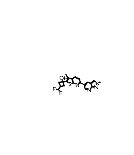 Cc1c(C2(O)CC(C(F)F)C2)sc2nc(-c3cnc4nn(C)cc4c3)ccc12